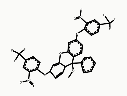 COC1(c2ccccc2)c2ccc(Oc3ccc(C(F)(F)F)cc3[N+](=O)[O-])cc2OC2=CC(Oc3ccc(C(F)(F)F)cc3[N+](=O)[O-])C=CC21